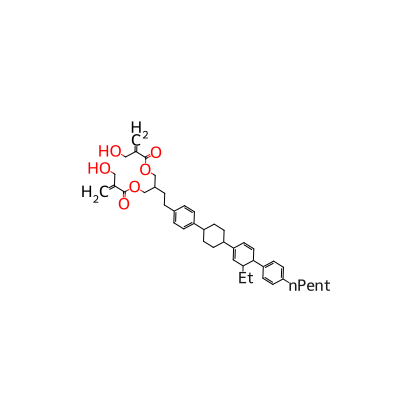 C=C(CO)C(=O)OCC(CCc1ccc(C2CCC(C3=CC(CC)C(c4ccc(CCCCC)cc4)C=C3)CC2)cc1)COC(=O)C(=C)CO